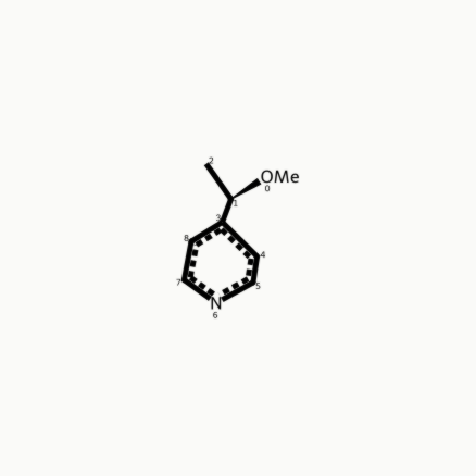 CO[C@H](C)c1ccncc1